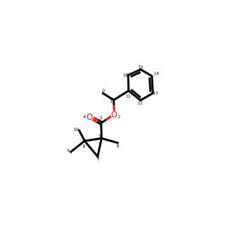 CC(OC(=O)C1(C)CC1(C)C)c1ccccc1